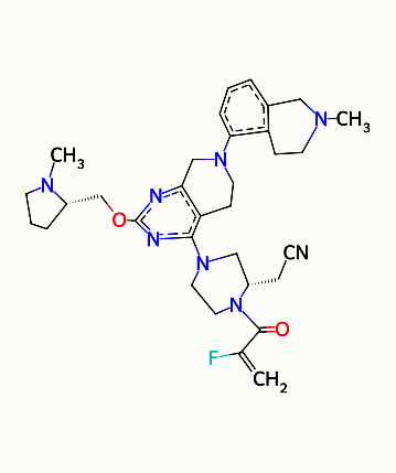 C=C(F)C(=O)N1CCN(c2nc(OC[C@@H]3CCCN3C)nc3c2CCN(c2cccc4c2CCN(C)C4)C3)C[C@@H]1CC#N